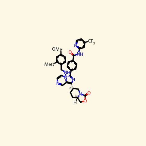 COc1ccc(CN[N+]23C=CN=CC2=C([C@H]2CC[C@H]4COC(=O)N4C2)N=C3c2ccc(C(=O)Nc3cc(C(F)(F)F)ccn3)cc2)c(OC)c1